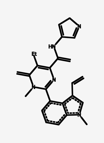 C=Cc1cn(C)c2cccc(C3=NC(C(=C)NC4=CCN=C4)=C(CC)C(=C)N3C)c12